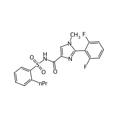 CCCc1ccccc1S(=O)(=O)NC(=O)c1cn(C)c(-c2c(F)cccc2F)n1